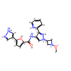 CON1CC(n2cc(NC(=O)c3ccc(-c4cn[nH]c4)o3)c(-c3ccccn3)n2)C1